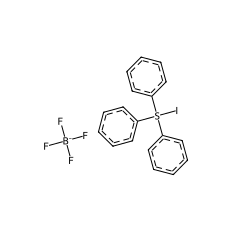 F[B-](F)(F)F.IS(c1ccccc1)(c1ccccc1)c1ccccc1